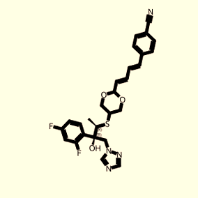 C[C@@H](SC1COC(C=CC=Cc2ccc(C#N)cc2)OC1)[C@](O)(Cn1cncn1)c1ccc(F)cc1F